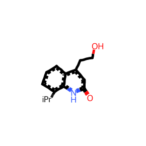 CC(C)c1cccc2c(CCO)cc(=O)[nH]c12